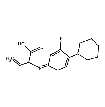 C=CC(N=C1C=C(F)C(N2CCCCC2)=CC1)C(=O)O